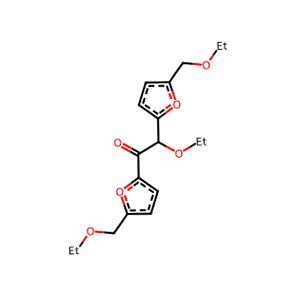 CCOCc1ccc(C(=O)C(OCC)c2ccc(COCC)o2)o1